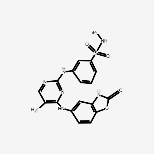 Cc1cnc(Nc2cccc(S(=O)(=O)NC(C)C)c2)nc1Nc1ccc2oc(=O)[nH]c2c1